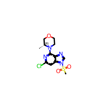 C[C@@H]1COCCN1c1nc(Cl)cc2c1ncn2S(C)(=O)=O